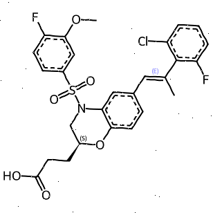 COc1cc(S(=O)(=O)N2C[C@H](CCC(=O)O)Oc3ccc(/C=C(\C)c4c(F)cccc4Cl)cc32)ccc1F